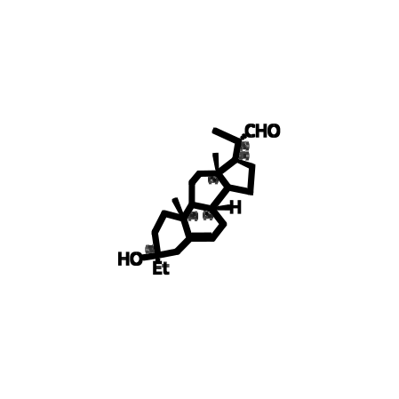 CC[C@]1(O)CC[C@@]2(C)C(=CC[C@@H]3C2CC[C@@]2(C)C3CC[C@@H]2[C@H](C)C=O)C1